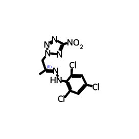 C/C(Cn1nnc([N+](=O)[O-])n1)=N\Nc1c(Cl)cc(Cl)cc1Cl